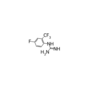 N=C(N)Nc1ccc(F)cc1C(F)(F)F